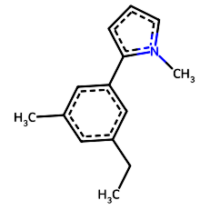 CCc1cc(C)cc(-c2cccn2C)c1